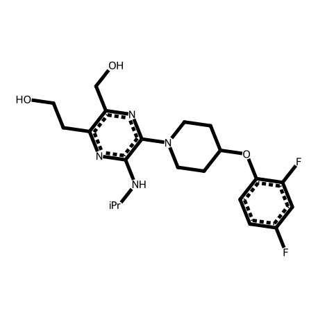 CC(C)Nc1nc(CCO)c(CO)nc1N1CCC(Oc2ccc(F)cc2F)CC1